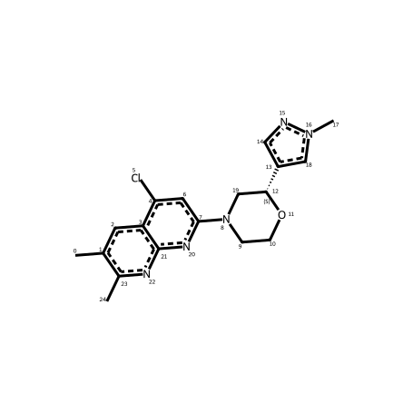 Cc1cc2c(Cl)cc(N3CCO[C@@H](c4cnn(C)c4)C3)nc2nc1C